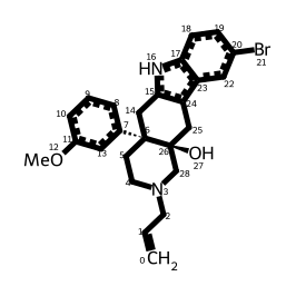 C=CCN1CC[C@@]2(c3cccc(OC)c3)Cc3[nH]c4ccc(Br)cc4c3C[C@]2(O)C1